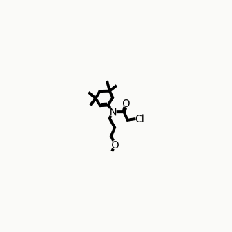 COCCCN(C(=O)CCl)C1=CC(C)(C)CC(C)(C)C1